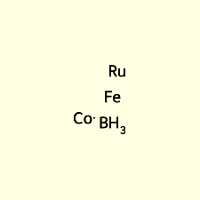 B.[Co].[Fe].[Ru]